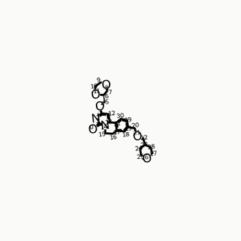 O=c1nc(OC[C@@H]2COCCO2)cc2n1CCc1cc(COCC3CCOCC3)ccc1-2